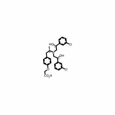 C[C@H](Cc1ccc(OCC(=O)O)cc1)N(C[C@@H](O)c1cccc(Cl)c1)C[C@@H](O)c1cccc(Cl)c1